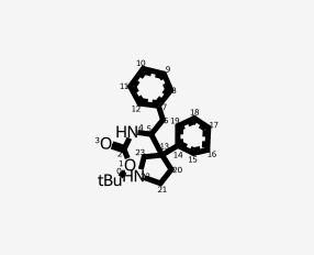 CC(C)(C)OC(=O)NC(Cc1ccccc1)C1(c2ccccc2)CCNC1